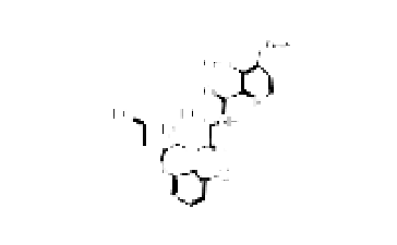 C=CC[C@@H](Oc1cccc(Cl)c1)[C@H](C)OC(=O)[C@H](C)NC(=O)c1nccc(OC)c1OC(C)=O